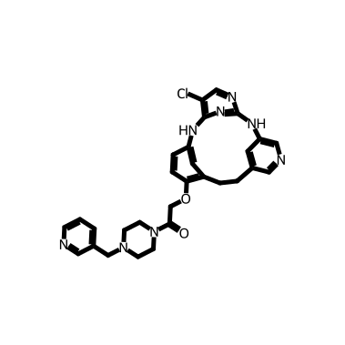 O=C(COc1ccc2cc1CCc1cncc(c1)Nc1ncc(Cl)c(n1)N2)N1CCN(Cc2cccnc2)CC1